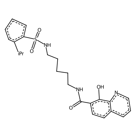 CC(C)c1ccccc1S(=O)(=O)NCCCCCNC(=O)c1ccc2cccnc2c1O